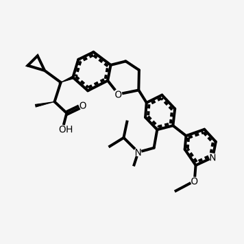 COc1cc(-c2ccc(C3CCc4ccc([C@H](C5CC5)[C@H](C)C(=O)O)cc4O3)cc2CN(C)C(C)C)ccn1